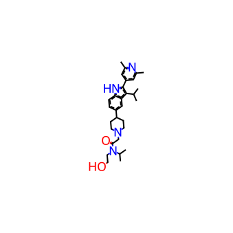 Cc1cc(-c2[nH]c3ccc(C4CCN(CC(=O)N(CCO)C(C)C)CC4)cc3c2C(C)C)cc(C)n1